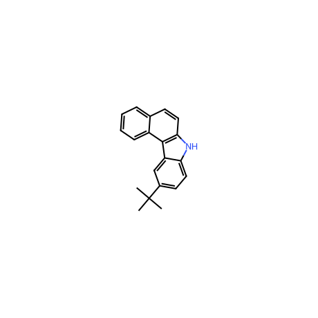 CC(C)(C)c1ccc2[nH]c3ccc4ccccc4c3c2c1